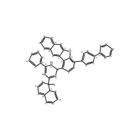 CC1(C2=NC(c3ccc(-c4ccc(-c5ccccc5)cc4)c4oc5cc6ccccc6cc5c34)NC(c3ccccc3)=N2)C=CC=C2C=CC=CC21